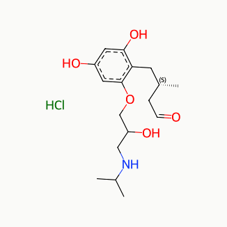 CC(C)NCC(O)COc1cc(O)cc(O)c1C[C@H](C)CC=O.Cl